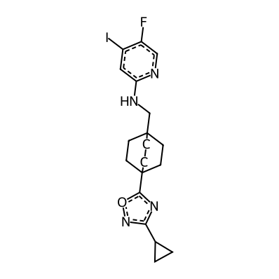 Fc1cnc(NCC23CCC(c4nc(C5CC5)no4)(CC2)CC3)cc1I